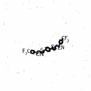 N#C/C(=C\c1ccc(-c2ccc(-c3ccc(/C=C(\C#N)c4ccc(C(F)(F)F)cc4)s3)cc2)s1)c1ccc(C(F)(F)F)cc1